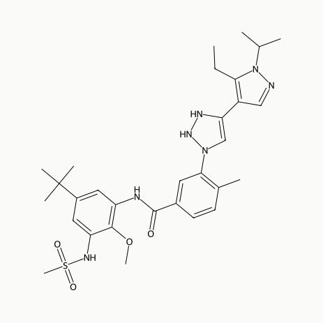 CCc1c(C2=CN(c3cc(C(=O)Nc4cc(C(C)(C)C)cc(NS(C)(=O)=O)c4OC)ccc3C)NN2)cnn1C(C)C